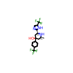 C[C@H]1CC(O)(c2ccc(C(F)(F)F)cc2)C[C@@H](c2ncc(C(F)(F)F)[nH]2)N1